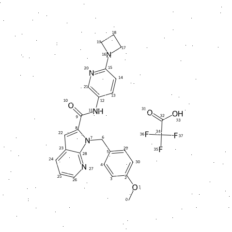 COc1ccc(Cn2c(C(=O)Nc3ccc(N4CCC4)nc3)cc3cccnc32)cc1.O=C(O)C(F)(F)F